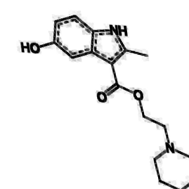 Cc1[nH]c2ccc(O)cc2c1C(=O)OCCN1CCCCC1